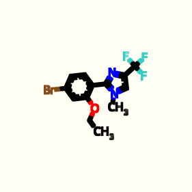 CCOc1cc(Br)ccc1-c1nc(C(F)(F)F)cn1C